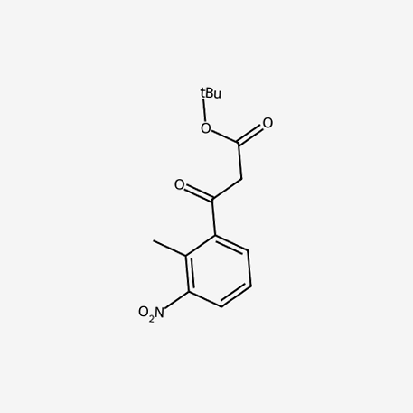 Cc1c(C(=O)CC(=O)OC(C)(C)C)cccc1[N+](=O)[O-]